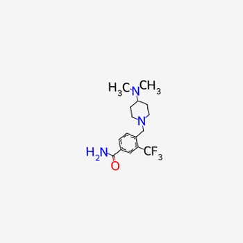 CN(C)C1CCN(Cc2ccc(C(N)=O)cc2C(F)(F)F)CC1